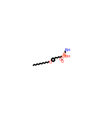 CCCCCCCCCCCCOc1ccc(CCCC(COP(O)OCCNC)OC=O)cc1